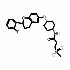 CS(=O)(=O)CCC(=O)N[C@H]1CC[C@H](Oc2ccc3c(c2)CCC(c2ccccc2F)O3)CC1